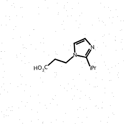 CC(C)c1nccn1CCC(=O)O